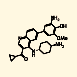 COc1cc(-c2ccc3ncc(C(=O)C4CC4)c(N[C@H]4CC[C@H](N)CC4)c3c2)cc(N)c1O